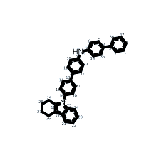 c1ccc(-c2ccc(Nc3ccc(-c4ccc(-n5c6c(c7ccccc75)CCCC6)cc4)cc3)cc2)cc1